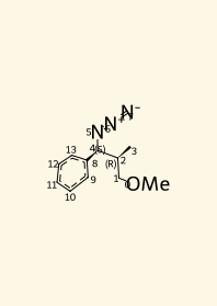 COC[C@H](C)[C@H](N=[N+]=[N-])c1ccccc1